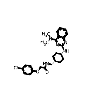 CN(C)c1nc(N[C@H]2CC[C@@H](CNC(=O)COc3ccc(Cl)cc3)CC2)nc2ccccc12